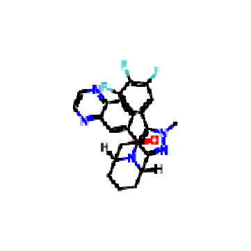 Cn1nc2c(c1-c1cc(F)c(F)c(F)c1)C[C@H]1CCC[C@@H]2N1C(=O)c1ccc2nccnc2c1